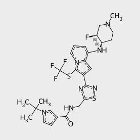 CN1CC[C@@H](Nc2cccn3c(SC(F)(F)F)c(-c4nsc(CNC(=O)c5ccn(C(C)(C)C)c5)n4)cc23)[C@@H](F)C1